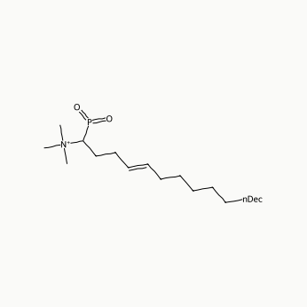 CCCCCCCCCCCCCCCC=CCCC(P(=O)=O)[N+](C)(C)C